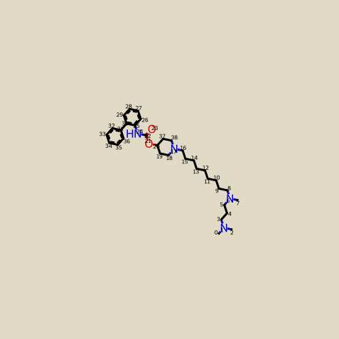 CN(C)CCCN(C)CCCCCCCCCN1CCC(OC(=O)Nc2ccccc2-c2ccccc2)CC1